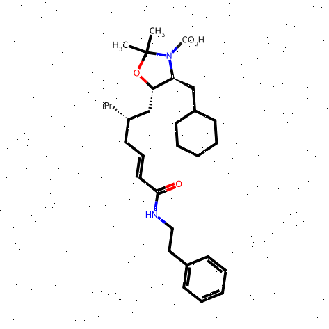 CC(C)[C@@H](C/C=C/C(=O)NCCc1ccccc1)C[C@@H]1OC(C)(C)N(C(=O)O)[C@H]1CC1CCCCC1